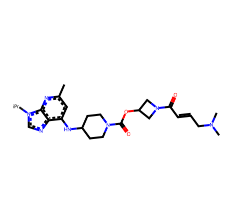 Cc1cc(NC2CCN(C(=O)OC3CN(C(=O)C=CCN(C)C)C3)CC2)c2ncn(C(C)C)c2n1